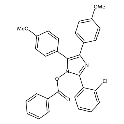 COc1ccc(-c2nc(-c3ccccc3Cl)n(OC(=O)c3ccccc3)c2-c2ccc(OC)cc2)cc1